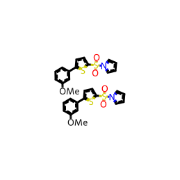 COc1cccc(-c2ccc(S(=O)(=O)n3cccc3)s2)c1.COc1cccc(-c2ccc(S(=O)(=O)n3cccc3)s2)c1